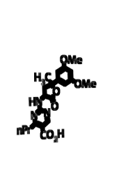 CCCc1nc(NC2CC(C)(c3cc(OC)cc(OC)c3)OC2=O)ncc1C(=O)O